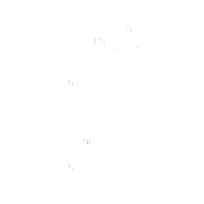 O=C(Nc1ccc(-c2cnc(-c3ccc(NC(=O)[C@@H]4CCCN4C(=O)c4cccs4)cc3)o2)cc1)[C@@H]1CCCN1C(=O)c1cccs1